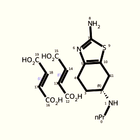 CCCN[C@@H]1CCc2nc(N)sc2C1.O=C(O)/C=C/C(=O)O.O=C(O)/C=C/C(=O)O